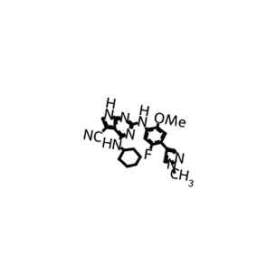 COc1cc(-c2cnn(C)c2)c(F)cc1Nc1nc(NC2CCCCC2)c2c(C#N)c[nH]c2n1